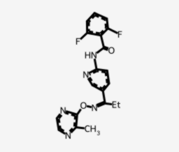 CCC(=NOc1nccnc1C)c1ccc(NC(=O)c2c(F)cccc2F)nc1